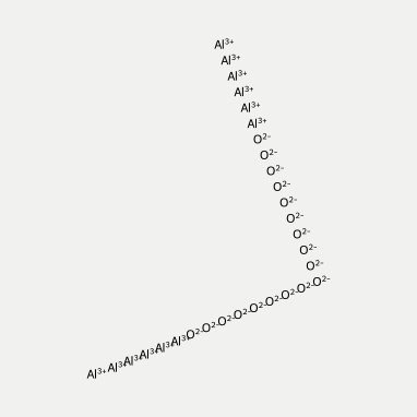 [Al+3].[Al+3].[Al+3].[Al+3].[Al+3].[Al+3].[Al+3].[Al+3].[Al+3].[Al+3].[Al+3].[Al+3].[O-2].[O-2].[O-2].[O-2].[O-2].[O-2].[O-2].[O-2].[O-2].[O-2].[O-2].[O-2].[O-2].[O-2].[O-2].[O-2].[O-2].[O-2]